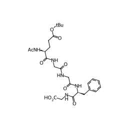 CC(=O)N[C@@H](CCC(=O)OC(C)(C)C)C(=O)NCC(=O)NCC(=O)N[C@@H](Cc1ccccc1)C(=O)NCC(=O)O